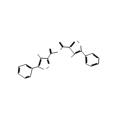 O=C(OC(=O)c1nsc(-c2ccccc2)c1C(=O)O)c1nsc(-c2ccccc2)c1C(=O)O